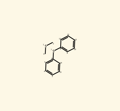 CSC.c1ccc(Sc2ccccc2)cc1